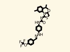 Cc1ccc(C(C)C)c(N2C(=O)CSC2=NC(=O)Nc2ccc(NN=Cc3ccc(OC(F)(F)F)cc3)cc2)c1